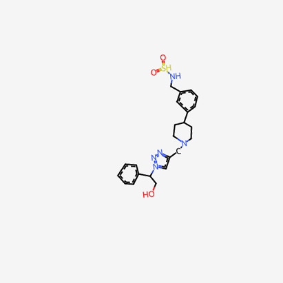 O=[SH](=O)NCc1cccc(C2CCN(Cc3cn(C(CO)c4ccccc4)nn3)CC2)c1